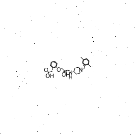 Cc1ccc(C)c(CN2CCC(NC[C@@H](O)COc3ccccc3CC(=O)O)CC2)c1